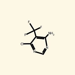 Nc1ncnc(Cl)c1C(F)(F)F